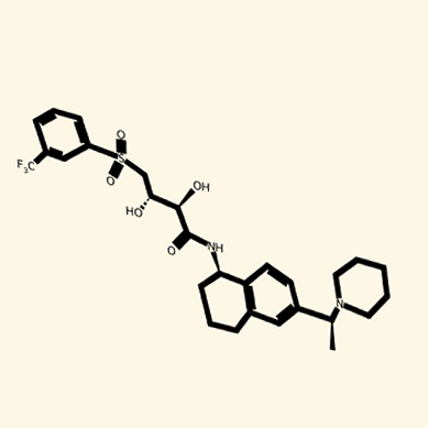 C[C@@H](c1ccc2c(c1)CCC[C@H]2NC(=O)[C@H](O)[C@H](O)CS(=O)(=O)c1cccc(C(F)(F)F)c1)N1CCCCC1